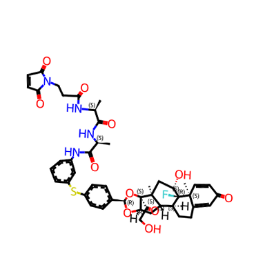 C[C@H](NC(=O)CCN1C(=O)C=CC1=O)C(=O)N[C@@H](C)C(=O)Nc1cccc(Sc2ccc([C@@H]3O[C@@H]4C[C@H]5[C@@H]6CCC7=CC(=O)C=C[C@]7(C)[C@@]6(F)[C@@H](O)C[C@]5(C)[C@]4(C(=O)CO)O3)cc2)c1